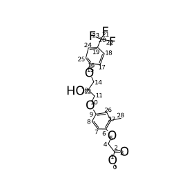 COC(=O)COc1ccc(OCC(O)COc2ccc(C(F)(F)F)cc2)cc1C